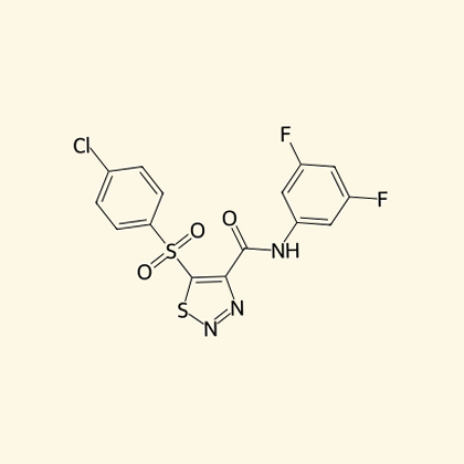 O=C(Nc1cc(F)cc(F)c1)c1nnsc1S(=O)(=O)c1ccc(Cl)cc1